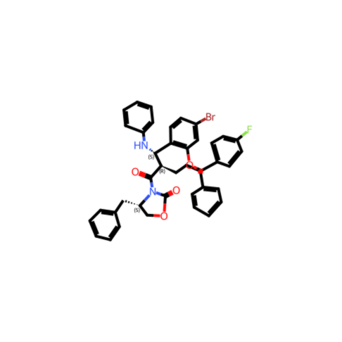 O=C1OC[C@H](Cc2ccccc2)N1C(=O)[C@H](CCCc1ccc(F)cc1)[C@H](Nc1ccccc1)c1ccc(Br)cc1OCc1ccccc1